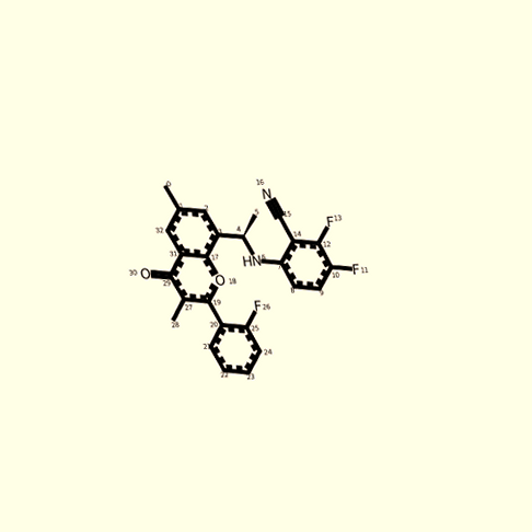 Cc1cc([C@@H](C)Nc2ccc(F)c(F)c2C#N)c2oc(-c3ccccc3F)c(C)c(=O)c2c1